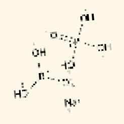 O=P(O)(O)O.[Na+].[O-]B(O)O